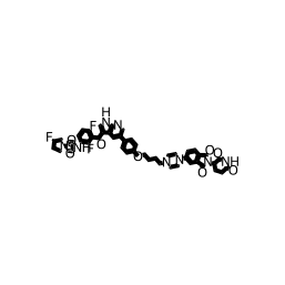 O=C1CCC(N2C(=O)c3ccc(N4CCN(CCCCOc5ccc(-c6cnc7[nH]cc(C(=O)c8c(F)ccc(NS(=O)(=O)N9CC[C@@H](F)C9)c8F)c7c6)cc5)CC4)cc3C2=O)C(=O)N1